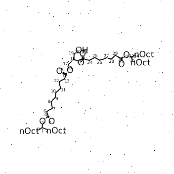 CCCCCCCCC(CCCCCCCC)OC(=O)CCCCCCCCC(=O)OC[C@@H](CO)OC(=O)CCCCCCC(=O)OC(CCCCCCCC)CCCCCCCC